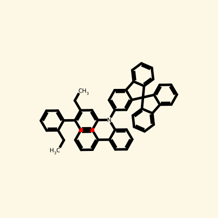 CCc1ccccc1-c1ccc(N(c2ccc3c(c2)C2(c4ccccc4-c4ccccc42)c2ccccc2-3)c2ccccc2-c2ccccc2)cc1CC